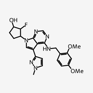 COc1ccc(CNc2ncnc3c2c(-c2ccn(C)n2)cn3C2CCC(O)C2F)c(OC)c1